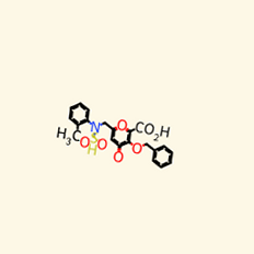 Cc1ccccc1N(Cc1cc(=O)c(OCc2ccccc2)c(C(=O)O)o1)[SH](=O)=O